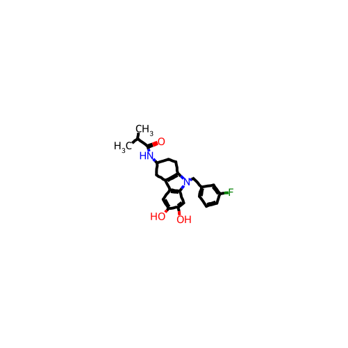 CC(C)C(=O)NC1CCc2c(c3cc(O)c(O)cc3n2Cc2cccc(F)c2)C1